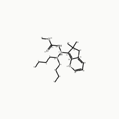 CCCCN(CCCC)[SH](NC(=O)OC)C1=C2OC=CC=C2CC1(C)C